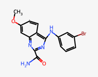 COc1[c]cc2c(Nc3cccc(Br)c3)nc(C(N)=O)nc2c1